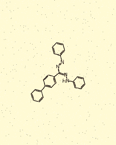 c1ccc(N=NC(=NNc2ccccc2)c2ccc(-c3ccccc3)cc2)cc1